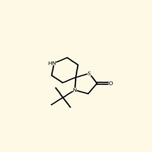 CC(C)(C)N1CC(=O)SC12CCNCC2